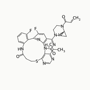 C=CC(=O)N1CCN(c2nc(=O)n3c4nc(c(F)cc24)-c2c(F)cccc2NC(=O)CCSc2ncnc(C(C)C)c2-3)C2C[C@H]21